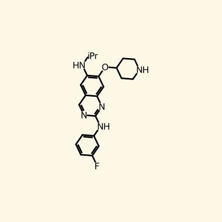 CC(C)Nc1cc2cnc(Nc3cccc(F)c3)nc2cc1OC1CCNCC1